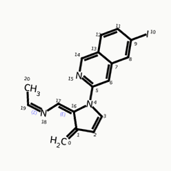 C=c1ccn(-c2cc3cc(I)ccc3cn2)/c1=C/N=C\C